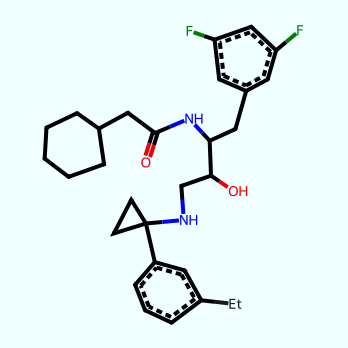 CCc1cccc(C2(NCC(O)C(Cc3cc(F)cc(F)c3)NC(=O)CC3CCCCC3)CC2)c1